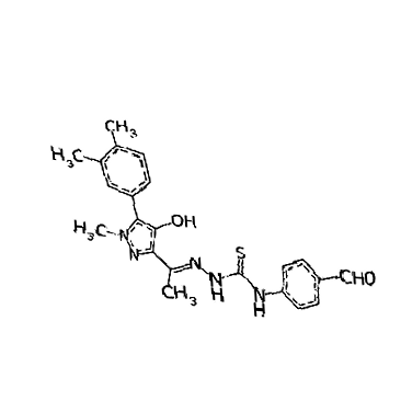 C/C(=N\NC(=S)Nc1ccc(C=O)cc1)c1nn(C)c(-c2ccc(C)c(C)c2)c1O